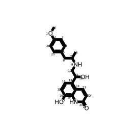 COc1ccc(CC(C)NCC(O)c2ccc(O)c3[nH]c(=O)ccc23)cc1